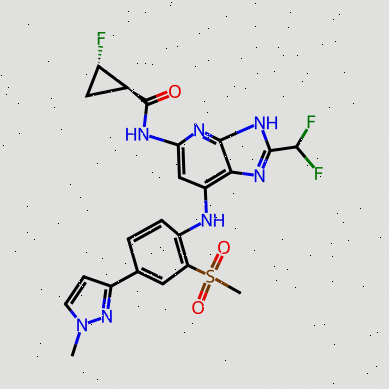 Cn1ccc(-c2ccc(Nc3cc(NC(=O)[C@H]4C[C@@H]4F)nc4[nH]c(C(F)F)nc34)c(S(C)(=O)=O)c2)n1